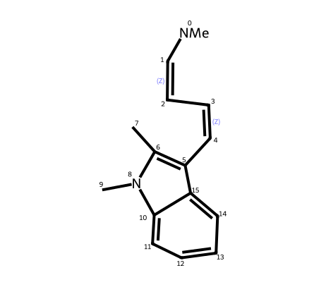 CN/C=C\C=C/c1c(C)n(C)c2ccccc12